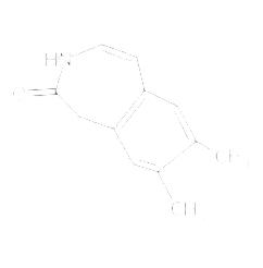 Cc1cc2c(cc1C)CC(=O)NC=C2